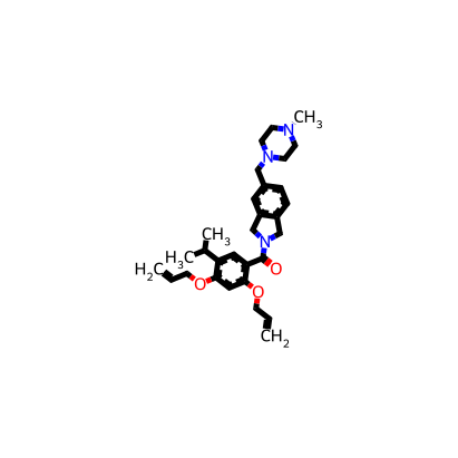 C=CCOc1cc(OCC=C)c(C(C)C)cc1C(=O)N1Cc2ccc(CN3CCN(C)CC3)cc2C1